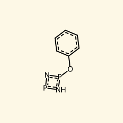 c1ccc(Op2np[nH]2)cc1